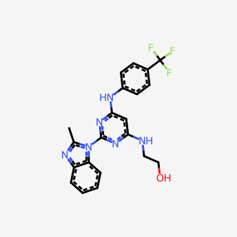 Cc1nc2ccccc2n1-c1nc(NCCO)cc(Nc2ccc(C(F)(F)F)cc2)n1